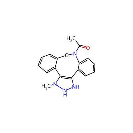 CC(=O)N1Cc2ccccc2C2=C(NNN2C)c2ccccc21